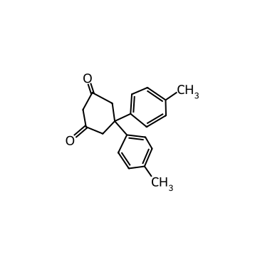 Cc1ccc(C2(c3ccc(C)cc3)CC(=O)CC(=O)C2)cc1